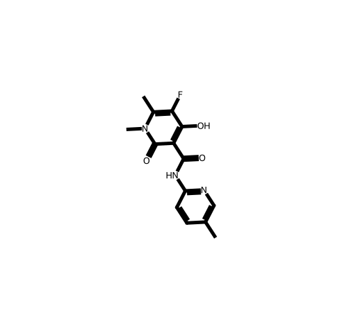 Cc1ccc(NC(=O)c2c(O)c(F)c(C)n(C)c2=O)nc1